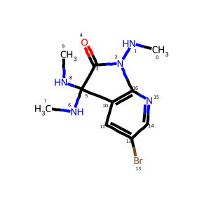 CNN1C(=O)C(NC)(NC)c2cc(Br)cnc21